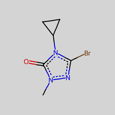 Cn1nc(Br)n(C2CC2)c1=O